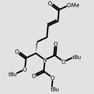 COC(=O)/C=C/CC[C@@H](C(=O)OC(C)(C)C)N(C(=O)OC(C)(C)C)C(=O)OC(C)(C)C